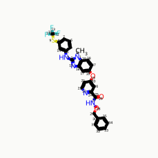 Cn1c(Nc2cccc(SC(F)(F)F)c2)nc2cc(Oc3ccnc(C(=O)NOCc4ccccc4)c3)ccc21